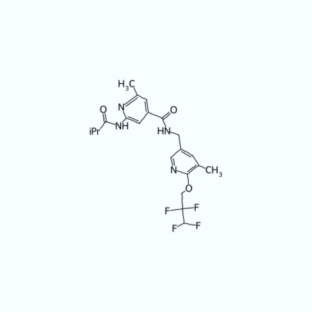 Cc1cc(C(=O)NCc2cnc(OCC(F)(F)C(F)F)c(C)c2)cc(NC(=O)C(C)C)n1